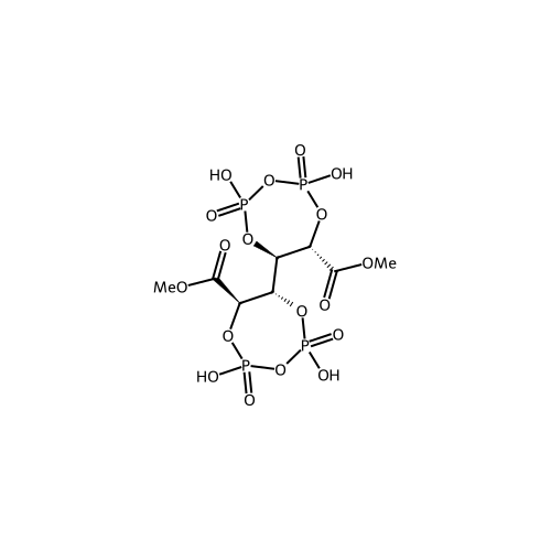 COC(=O)[C@H]1OP(=O)(O)OP(=O)(O)O[C@@H]1[C@@H]1OP(=O)(O)OP(=O)(O)O[C@H]1C(=O)OC